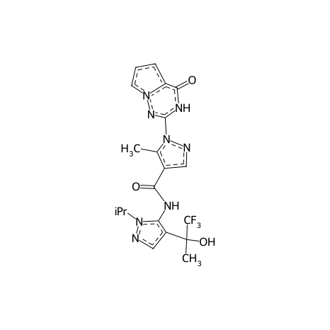 Cc1c(C(=O)Nc2c(C(C)(O)C(F)(F)F)cnn2C(C)C)cnn1-c1nn2cccc2c(=O)[nH]1